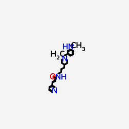 C=C(c1cccc(NC)c1)N1CCC(CCCCNC(=O)/C=C/c2cccnc2)CC1